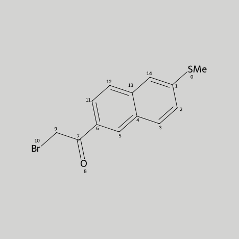 CSc1ccc2cc(C(=O)CBr)ccc2c1